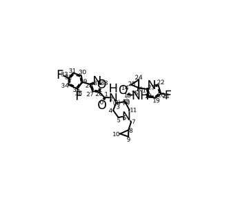 O=C(N[C@@H]1CCN(CC2CC2)C[C@H]1C(=O)NC1(c2ccc(F)cn2)CC1)c1cc(-c2ccc(F)cc2F)no1